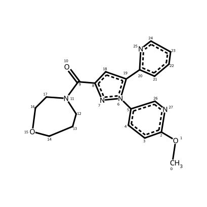 COc1ccc(-n2nc(C(=O)N3CCCOCC3)cc2-c2ccccn2)cn1